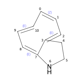 C1=C\C=C2/CCN/C2=C/C=C/1